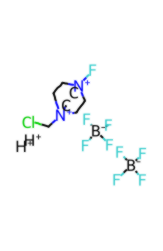 F[B-](F)(F)F.F[B-](F)(F)F.F[N+]12CC[N+](CCl)(CC1)CC2.[H+].[H+]